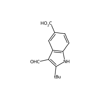 CC(C)(C)c1[nH]c2ccc(C(=O)O)cc2c1C=O